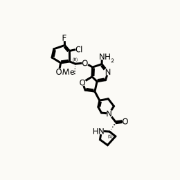 COc1ccc(F)c(Cl)c1[C@@H](C)Oc1c(N)ncc2c(C3=CCN(C(=O)[C@@H]4CCCN4)CC3)coc12